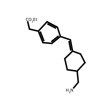 CCOC(=O)Cc1ccc(C=C2CCC(CN)CC2)cc1